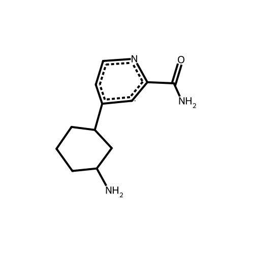 NC(=O)c1[c]c(C2CCCC(N)C2)ccn1